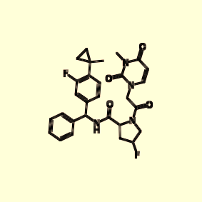 Cn1c(=O)ccn(CC(=O)N2CC(F)CC2C(=O)NC(c2ccccc2)c2ccc(C3(C)CC3)c(F)c2)c1=O